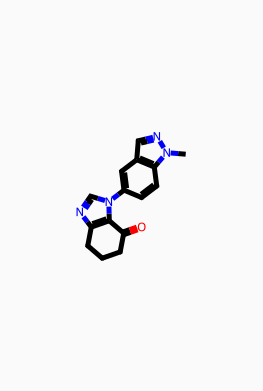 Cn1ncc2cc(-n3cnc4c3C(=O)CCC4)ccc21